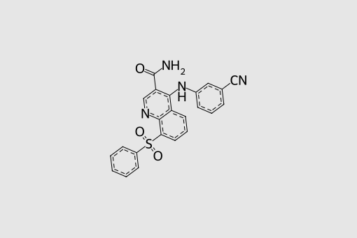 N#Cc1cccc(Nc2c(C(N)=O)cnc3c(S(=O)(=O)c4ccccc4)cccc23)c1